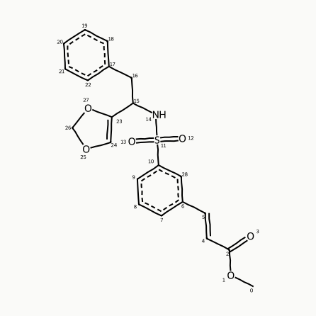 COC(=O)C=Cc1cccc(S(=O)(=O)NC(Cc2ccccc2)C2=COCO2)c1